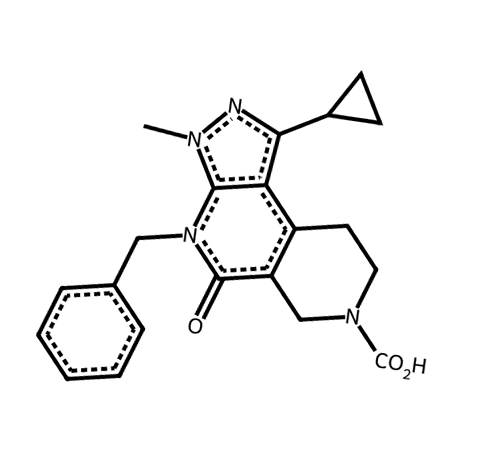 Cn1nc(C2CC2)c2c3c(c(=O)n(Cc4ccccc4)c21)CN(C(=O)O)CC3